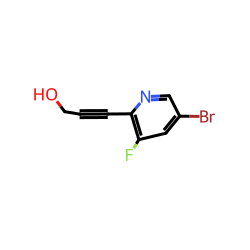 OCC#Cc1ncc(Br)cc1F